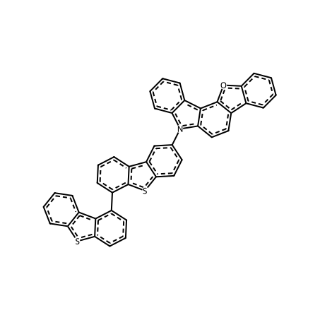 c1ccc2c(c1)oc1c2ccc2c1c1ccccc1n2-c1ccc2sc3c(-c4cccc5sc6ccccc6c45)cccc3c2c1